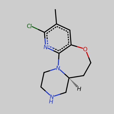 Cc1cc2c(nc1Cl)N1CCNC[C@@H]1CCO2